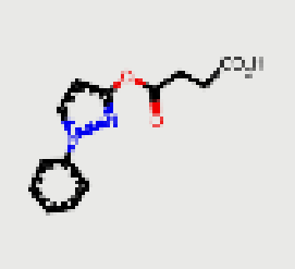 O=C(O)CCC(=O)Oc1ccn(-c2ccccc2)n1